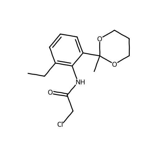 CCc1cccc(C2(C)OCCCO2)c1NC(=O)CCl